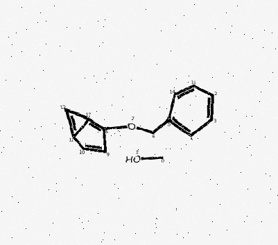 CO.c1ccc(COc2ccc3cc2-3)cc1